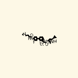 CCC(C(=O)[AsH]c1cc(C2CC2)[nH]n1)c1cccc(-c2ccc(NC(=O)/C=C/CN(C)C)c(F)c2)c1